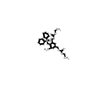 CCOC(=S)SCc1cc(C)c(CP(=O)(c2ccccc2)c2ccccc2)c(CSC(=S)OCC)c1